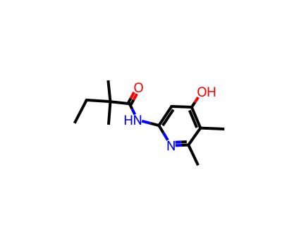 CCC(C)(C)C(=O)Nc1cc(O)c(C)c(C)n1